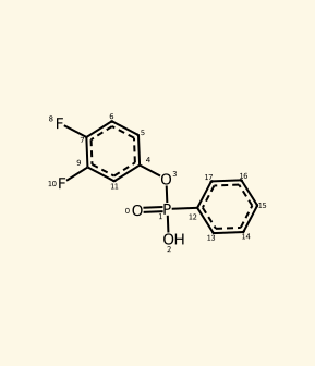 O=P(O)(Oc1ccc(F)c(F)c1)c1ccccc1